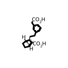 O=C(O)Cc1cccc(CC[C@H]2[C@@H](C(=O)O)[C@@H]3CC[C@H]2O3)c1